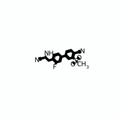 CS(=O)(=O)c1cc(-c2ccc(C[C@H](N)C#N)c(F)c2)ccc1C#N